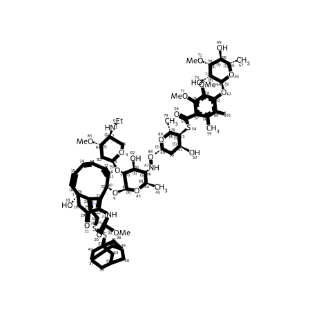 CCN[C@H]1CO[C@@H](O[C@H]2[C@H](O[C@H]3C#CC=CC#C[C@]4(O)CC(=O)C(NC(=O)OC)=C3/C4=C\CSSC34CC5CC(CC(C5)C3)C4)O[C@H](C)[C@@H](NO[C@H]3C[C@H](O)[C@H](SC(=O)c4c(C)c(I)c(O[C@@H]5O[C@@H](C)[C@H](O)[C@@H](OC)[C@H]5O)c(OC)c4OC)[C@@H](C)O3)[C@@H]2O)C[C@@H]1OC